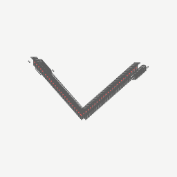 [Ta].[Ta].[Ta].[Ta].[Ta].[Ta].[Ta].[Ta].[Ta].[Ta].[Ta].[Ta].[Ta].[Ta].[Ta].[Ta].[Ta].[Ta].[Ta].[Ta].[Ti].[Ti].[Ti].[Ti].[Ti].[Ti].[Ti].[Ti].[Ti].[Ti].[Ti].[Ti].[Ti].[Ti].[Ti].[Ti].[Ti].[Ti].[Ti].[Ti].[Ti].[Ti].[Ti].[Ti].[Ti].[Ti].[Ti].[Ti].[Ti].[Ti].[Ti].[Ti].[Ti].[Ti].[Ti].[Ti].[Ti].[Ti].[Ti].[Ti].[Ti].[Ti].[Ti].[Ti].[Ti].[Ti].[Ti].[Ti].[Ti].[Ti].[Ti].[Ti].[Ti].[Ti].[Ti].[Ti].[Ti].[Ti].[Ti].[Ti].[Ti].[Ti].[Ti].[Ti].[Ti].[Ti].[Ti].[Ti].[Ti].[Ti].[Ti].[Ti].[Ti].[Ti].[Ti].[Ti].[Ti].[Ti].[Ti].[Ti]